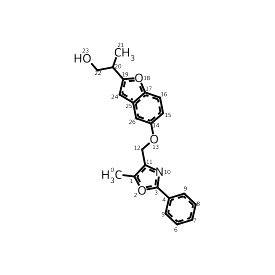 Cc1oc(-c2ccccc2)nc1COc1ccc2oc(C(C)CO)cc2c1